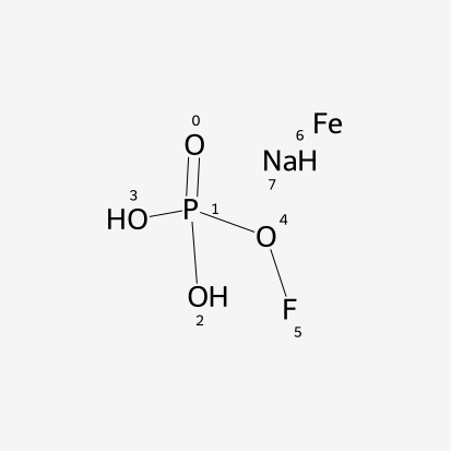 O=P(O)(O)OF.[Fe].[NaH]